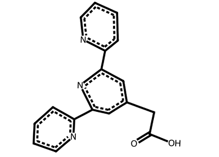 O=C(O)Cc1cc(-c2ccccn2)nc(-c2ccccn2)c1